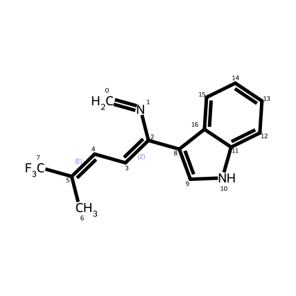 C=N/C(=C\C=C(/C)C(F)(F)F)c1c[nH]c2ccccc12